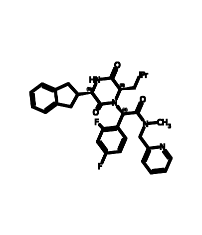 CC(C)C[C@@H]1C(=O)N[C@H](C2Cc3ccccc3C2)C(=O)N1[C@@H](C(=O)N(C)Cc1ccccn1)c1ccc(F)cc1F